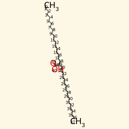 CCCCCCCCCCCCCCCCCC/C=C(/CCCCCCCCCCCCCCCCCC)C(=O)O